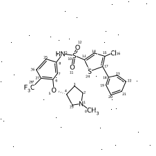 CN1CC[C@@H](Oc2cc(NS(=O)(=O)c3cc(Cl)c(-c4ccccc4)s3)ccc2C(F)(F)F)C1